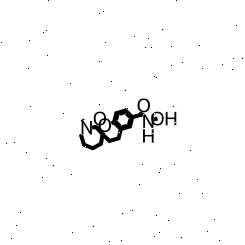 CN1CCCCC2(CCc3cc(C(=O)NO)ccc3O2)C1=O